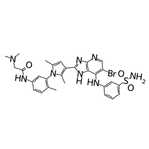 Cc1ccc(NC(=O)CN(C)C)cc1-n1c(C)cc(-c2nc3ncc(Br)c(Nc4cccc(S(N)(=O)=O)c4)c3[nH]2)c1C